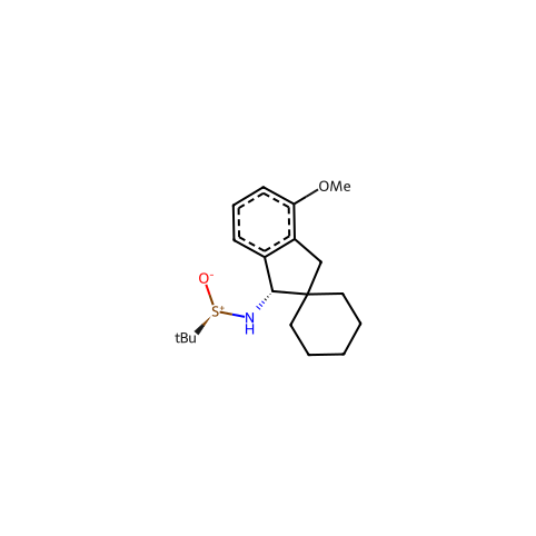 COc1cccc2c1CC1(CCCCC1)[C@@H]2N[S@+]([O-])C(C)(C)C